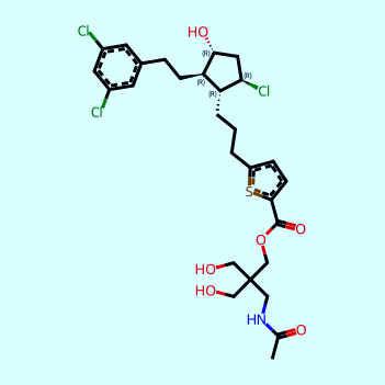 CC(=O)NCC(CO)(CO)COC(=O)c1ccc(CCC[C@@H]2[C@@H](CCc3cc(Cl)cc(Cl)c3)[C@H](O)C[C@H]2Cl)s1